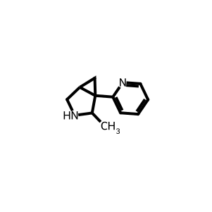 CC1NCC2CC21c1ccccn1